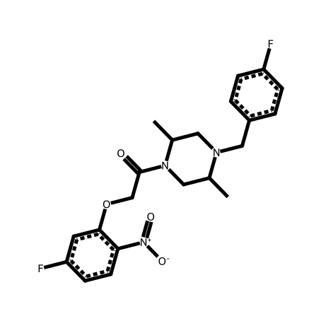 CC1CN(C(=O)COc2cc(F)ccc2[N+](=O)[O-])C(C)CN1Cc1ccc(F)cc1